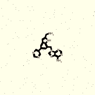 NCc1cc2cc(-c3cncnc3)cc(Cn3cnc4c(N)ncnc43)c2[nH]1